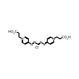 O=C(O)CCn1ccc(=NN=CN=Nc2cc[n+](CCC(=O)O)cc2)cc1.[Cl-]